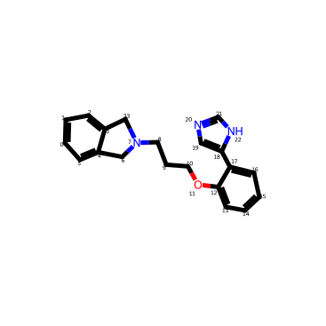 c1ccc2c(c1)CN(CCCOc1ccccc1-c1cnc[nH]1)C2